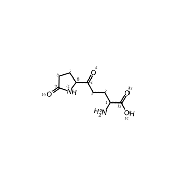 NC(CCC(=O)C1CCC(=O)N1)C(=O)O